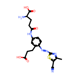 Cc1nc(N=Nc2ccc(NC(=O)CCC(N)C(=O)O)cc2CCC(=O)O)sc1C#N